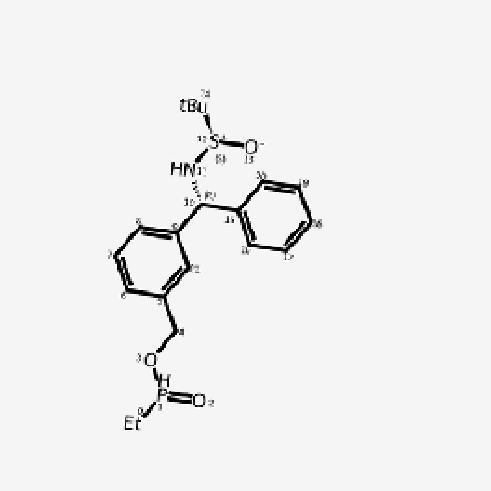 CC[PH](=O)OCc1cccc([C@H](N[S@+]([O-])C(C)(C)C)c2ccccc2)c1